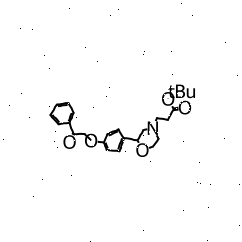 CC(C)(C)OC(=O)CCN1CCOC(c2ccc(OCC(=O)c3ccccc3)cc2)C1